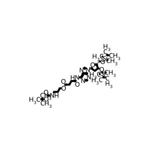 CC(C)[Si](C)(C)OC[C@H]1O[C@@H](n2cnc3c(NC(=O)CCC(=O)OCCCNC(=O)OC(C)(C)C)ncnc32)CC1O[Si](C)(C)C(C)C